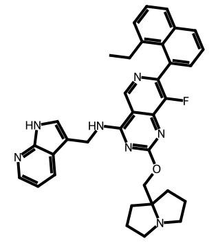 CCc1cccc2cccc(-c3ncc4c(NCc5c[nH]c6ncccc56)nc(OCC56CCCN5CCC6)nc4c3F)c12